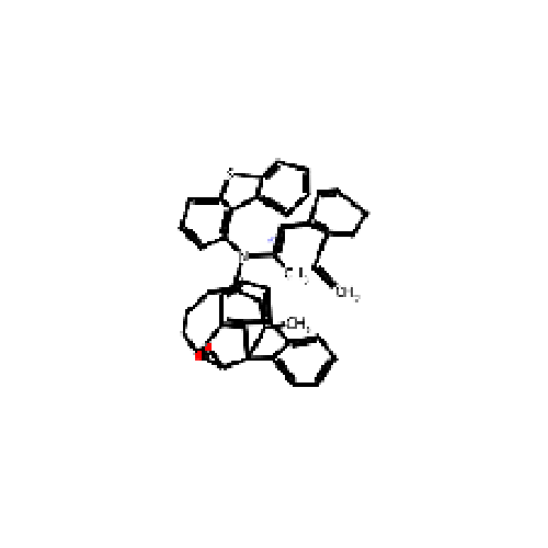 C=CC1=C(/C=C(\C)N(c2cccc3sc4ccccc4c23)C2CCCc3cccc4c3C3(c5ccccc5-c5cccc-4c53)C(C)C2)C=CCC1